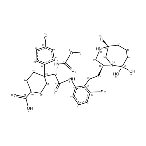 COC(=O)N[C@H](C(=O)Nc1cccc(F)c1CC[C@H]1CN[C@@H]2CCCS(O)(O)N1C2)C1(c2ccc(Cl)cc2)CCN(C(=O)O)CC1